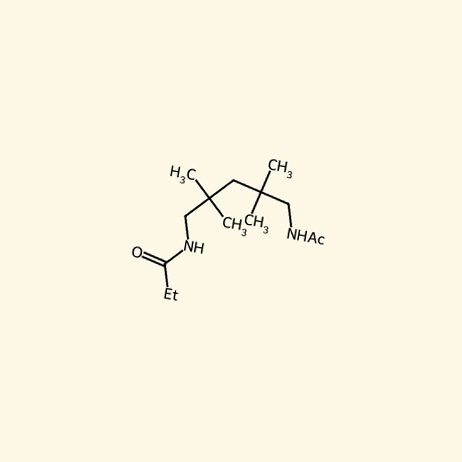 CCC(=O)NCC(C)(C)CC(C)(C)CNC(C)=O